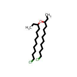 CCC(CCCCCCCCCCl)OC(CC)CCCCCCCCCCl